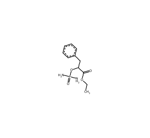 CCOC(=O)C(Cc1ccccc1)OP(N)(N)=O